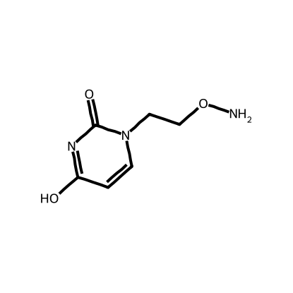 NOCCn1ccc(O)nc1=O